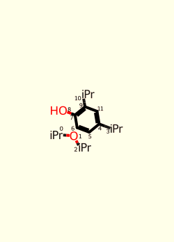 CC(C)OC(C)C.CC(C)c1ccc(O)c(C(C)C)c1